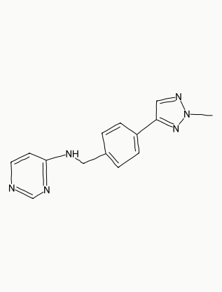 Cn1ncc(-c2ccc(CNc3ccncn3)cc2)n1